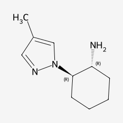 Cc1cnn([C@@H]2CCCC[C@H]2N)c1